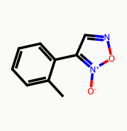 Cc1ccccc1-c1cno[n+]1[O-]